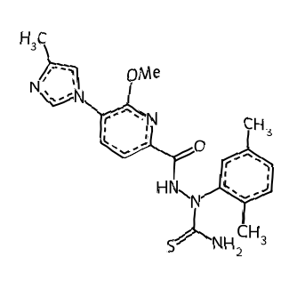 COc1nc(C(=O)NN(C(N)=S)c2cc(C)ccc2C)ccc1-n1cnc(C)c1